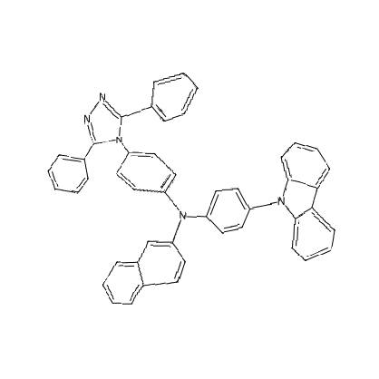 c1ccc(-c2nnc(-c3ccccc3)n2-c2ccc(N(c3ccc(-n4c5ccccc5c5ccccc54)cc3)c3ccc4ccccc4c3)cc2)cc1